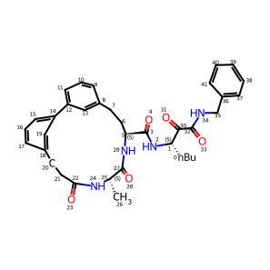 CCCC[C@H](NC(=O)[C@@H]1CCc2cccc(c2)-c2cccc(c2)CCC(=O)N[C@@H](C)C(=O)N1)C(=O)C(=O)NCc1ccccc1